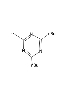 [CH2]c1nc(CCCC)nc(CCCC)n1